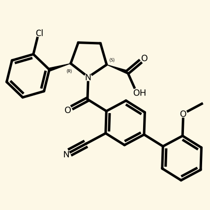 COc1ccccc1-c1ccc(C(=O)N2[C@@H](c3ccccc3Cl)CC[C@H]2C(=O)O)c(C#N)c1